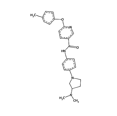 Cc1ccc(Oc2ccc(C(=O)Nc3ccc(N4CCC(N(C)C)C4)cc3)cn2)cc1